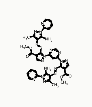 COC(=O)c1cnn(-c2cc(-n3ncc(C(=O)OC)c3/N=N/c3c(C)nn(-c4ccccn4)c3N)ncn2)c1/N=N/c1c(C)nn(-c2ccccn2)c1N